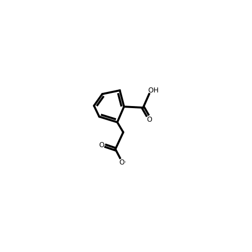 [O]C(=O)Cc1ccccc1C(=O)O